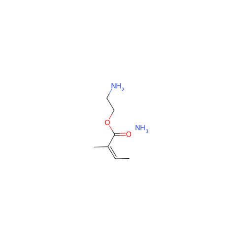 CC=C(C)C(=O)OCCN.N